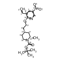 C=Cc1cc([N+](=O)[O-])cnc1OCC[C@@H]1CCN(C(=O)OC(C)(C)C)[C@@H](C)C1